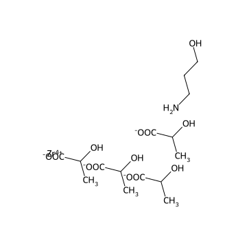 CC(O)C(=O)[O-].CC(O)C(=O)[O-].CC(O)C(=O)[O-].CC(O)C(=O)[O-].NCCCO.[Zr+4]